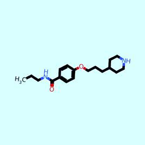 CCCNC(=O)c1ccc(OCCCC2CCNCC2)cc1